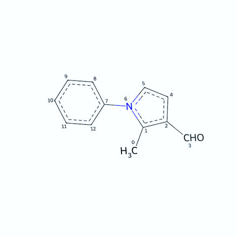 Cc1c(C=O)ccn1-c1ccccc1